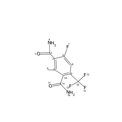 Cc1c(C(N)=O)c(F)cc(C(F)(F)F)c1C(N)=O